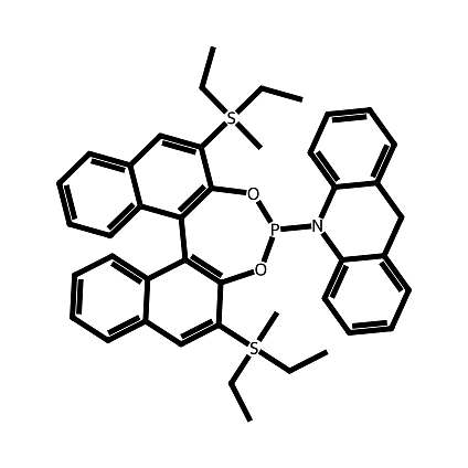 CCS(C)(CC)c1cc2ccccc2c2c1op(N1c3ccccc3Cc3ccccc31)oc1c(S(C)(CC)CC)cc3ccccc3c12